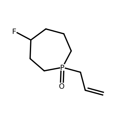 C=CCP1(=O)CCCC(F)CC1